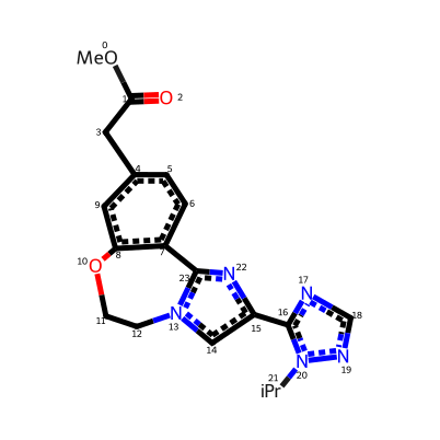 COC(=O)Cc1ccc2c(c1)OCCn1cc(-c3ncnn3C(C)C)nc1-2